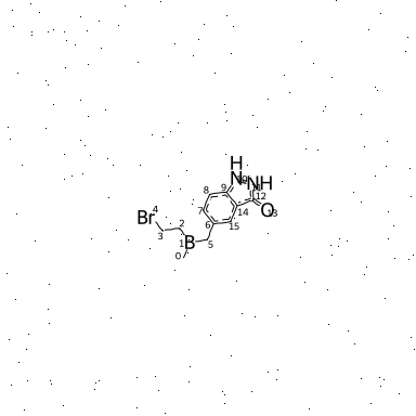 CB(CCBr)Cc1ccc2[nH][nH]c(=O)c2c1